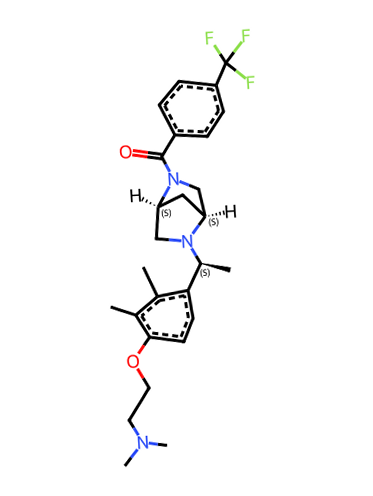 Cc1c(OCCN(C)C)ccc([C@H](C)N2C[C@@H]3C[C@H]2CN3C(=O)c2ccc(C(F)(F)F)cc2)c1C